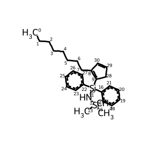 CCCCCCCCC1=C([Si](N[Si](C)(C)C)(c2ccccc2)c2ccccc2)CC=C1